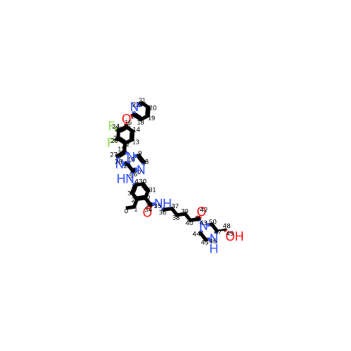 CCc1cc(Nc2nccn3c(-c4ccc(Oc5ccccn5)c(F)c4F)cnc23)ccc1C(=O)NCCCCCC(=O)N1CCN[C@H](CO)C1